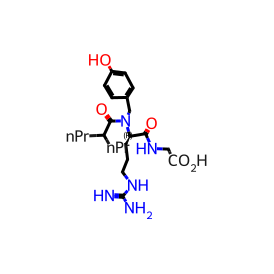 CCCC(CCC)C(=O)N(Cc1ccc(O)cc1)[C@H](CCCNC(=N)N)C(=O)NCC(=O)O